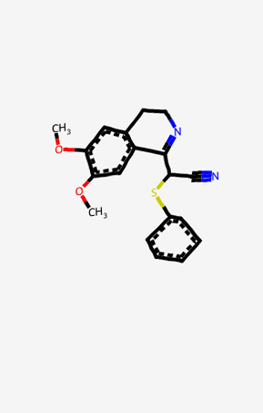 COc1cc2c(cc1OC)C(C(C#N)Sc1ccccc1)=NCC2